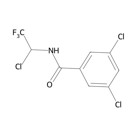 O=C(NC(Cl)C(F)(F)F)c1cc(Cl)cc(Cl)c1